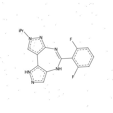 CC(C)n1cc2c(n1)N=C(c1c(F)cccc1F)Nc1cn[nH]c1-2